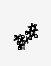 CC(C)(C)OC(=O)N(CCON1C(=O)c2ccccc2C1=O)CC(=O)O